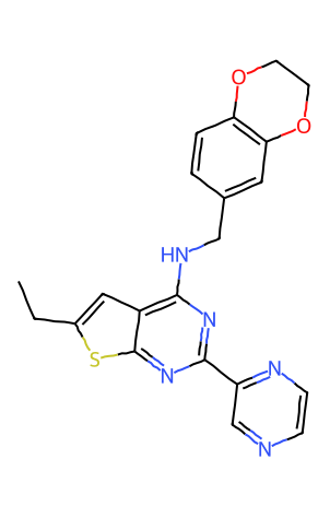 CCc1cc2c(NCc3ccc4c(c3)OCCO4)nc(-c3cnccn3)nc2s1